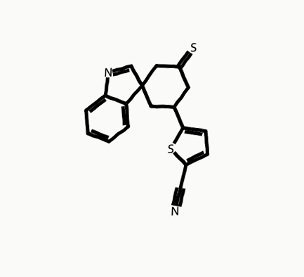 N#Cc1ccc(C2CC(=S)CC3(C=Nc4ccccc43)C2)s1